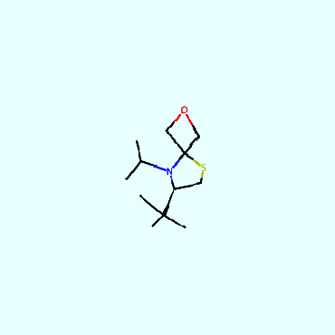 CC(C)N1[C@H](C(C)(C)C)CSC12COC2